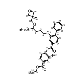 CCCCCCCC(CCCOc1cc(C(=O)Oc2ccc(C(=O)OC[C@H](C)CC)cc2F)ccc1-c1ccccc1)OCC1(C)COC1